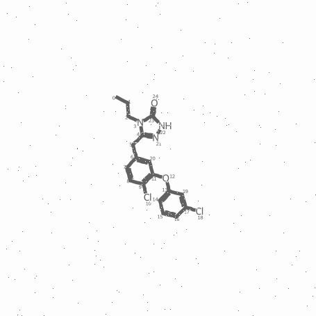 CCCn1c(Cc2ccc(Cl)c(Oc3cccc(Cl)c3)c2)n[nH]c1=O